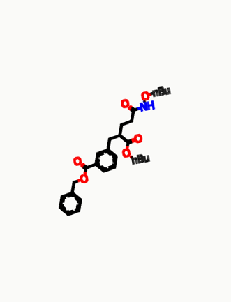 CCCCONC(=O)CCC(Cc1cccc(C(=O)OCc2ccccc2)c1)C(=O)OCCCC